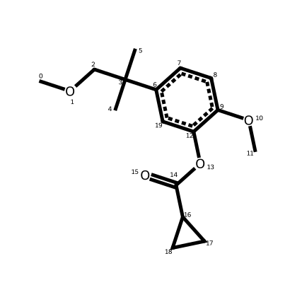 COCC(C)(C)c1ccc(OC)c(OC(=O)C2CC2)c1